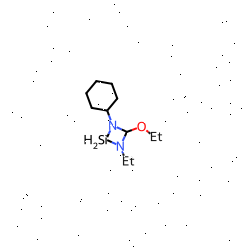 CCOC1N(CC)[SiH2]N1C1CCCCC1